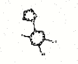 Oc1cc(F)c(-n2cc[c]n2)cc1O